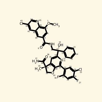 COc1cc(C(=O)NC[C@@](O)(c2ccccc2)c2cc3c(c(-c4cc(Cl)c(F)cc4F)n2)OC[C@]3(C)C(N)=O)cc2cc(Cl)cnc12